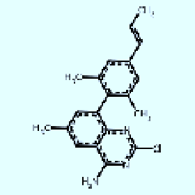 C/C=C/c1cc(C)c(-c2cc(C)cc3c(N)nc(Cl)nc23)c(C)c1